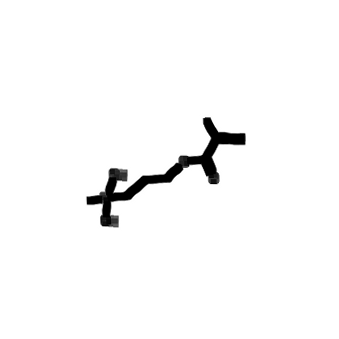 C=C(C)C(=O)OCCC[Si](C)(O)O